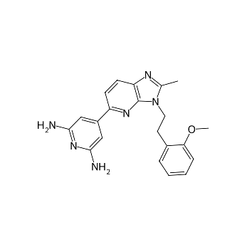 COc1ccccc1CCn1c(C)nc2ccc(-c3cc(N)nc(N)c3)nc21